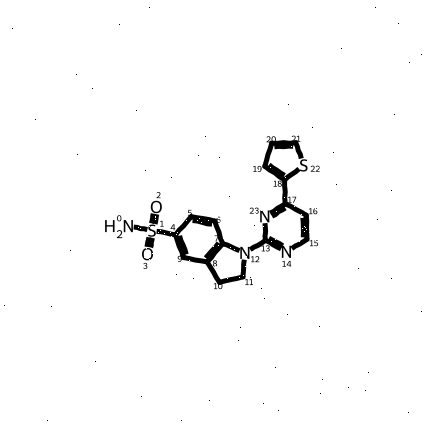 NS(=O)(=O)c1ccc2c(c1)CCN2c1nccc(-c2cccs2)n1